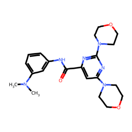 CN(C)c1cccc(NC(=O)c2cc(N3CCOCC3)nc(N3CCOCC3)n2)c1